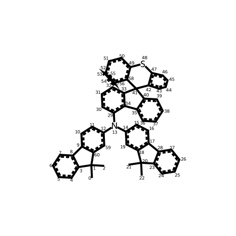 CC1(C)c2ccccc2-c2ccc(N(c3ccc4c(c3)C(C)(C)c3ccccc3-4)c3cccc4c3-c3ccccc3C43c4ccccc4Sc4ccc5ccccc5c43)cc21